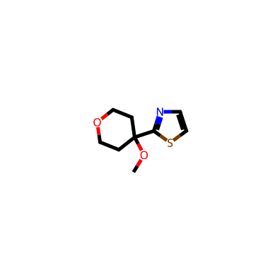 COC1(c2nccs2)CCOCC1